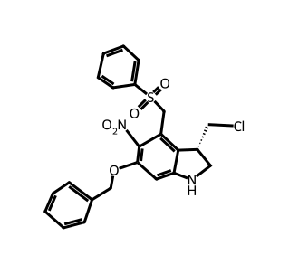 O=[N+]([O-])c1c(OCc2ccccc2)cc2c(c1CS(=O)(=O)c1ccccc1)[C@H](CCl)CN2